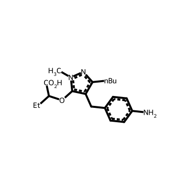 CCCCc1nn(C)c(OC(CC)C(=O)O)c1Cc1ccc(N)cc1